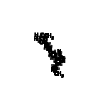 Cn1cc(-c2cc(-c3ccc(N4CC5(CN(C(=O)OC(C)(C)C)C5)C4)nc3)n3c(C#N)cnc3c2)cn1